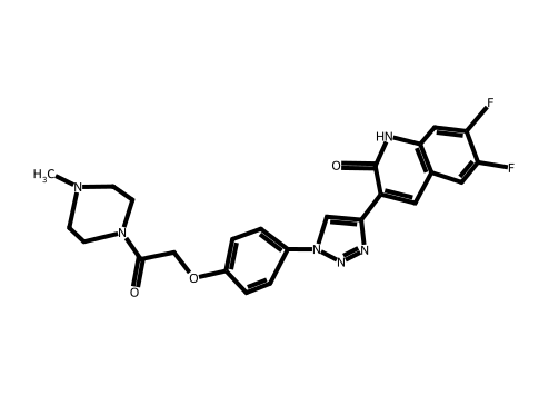 CN1CCN(C(=O)COc2ccc(-n3cc(-c4cc5cc(F)c(F)cc5[nH]c4=O)nn3)cc2)CC1